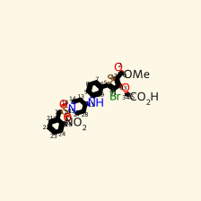 COC(=O)c1sc(-c2cccc(NC3CCN(S(=O)(=O)Cc4ccccc4[N+](=O)[O-])CC3)c2)c(Br)c1OCC(=O)O